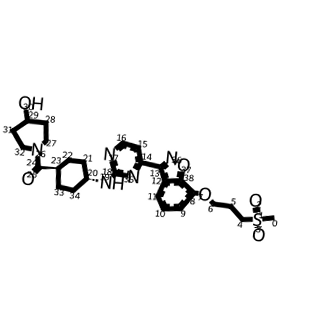 CS(=O)(=O)CCCOc1cccc2c(-c3ccnc(N[C@H]4CC[C@H](C(=O)N5CCC(O)CC5)CC4)n3)noc12